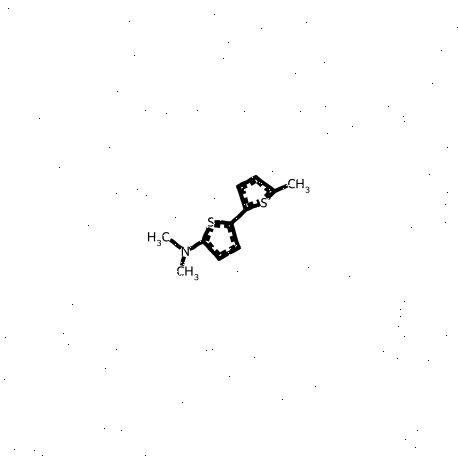 Cc1ccc(-c2ccc(N(C)C)s2)s1